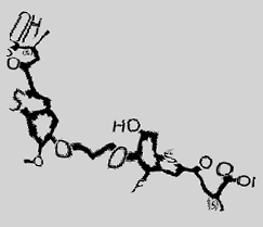 COc1cc2sc(C(=O)C[C@H](C)C(=O)O)cc2cc1OCCCOc1c(O)cc2sc(C(=O)C[C@H](C)C(=O)O)cc2c1F